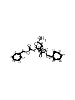 B[C@@H]1O[C@@]2(CC(=O)OCc3ccccc3)CN(C)C1C2C(=O)OCc1ccccc1